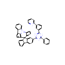 c1ccc(-c2nc(-c3cccc(-c4ccccn4)c3)nc(-c3ccc4c(c3)C3(c5ccccc5-4)c4ccccc4-n4c5ccccc5c5cccc3c54)n2)cc1